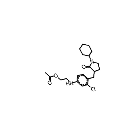 CC(=O)OCCNc1ccc(CC2CCN(C3CCCCC3)C2=O)c(Cl)c1